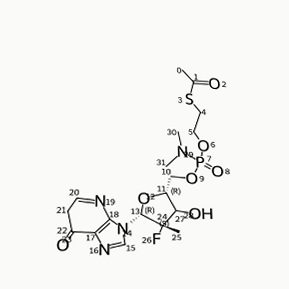 CC(=O)SCCOP(=O)(OC[C@H]1O[C@@H](n2cnc3c2N=CCC3=O)[C@@](C)(F)C1O)N(C)C